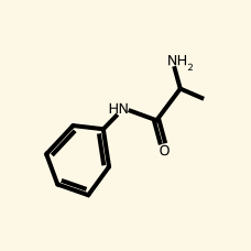 CC(N)C(=O)Nc1ccccc1